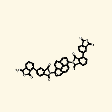 C=C1OC(=O)c2c1cccc2-c1ccc2c(c1)C(=O)N(c1ccc3ccc4c(N5C(=O)c6cccc(-c7ccc8c(c7)C(=O)OC8=O)c6C5=O)ccc5ccc1c3c54)C2=O